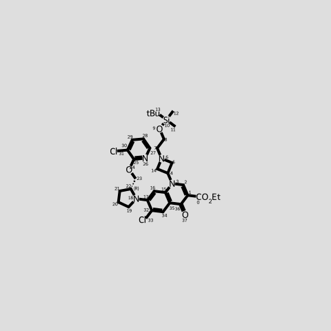 CCOC(=O)c1cn(C2CN(CCO[Si](C)(C)C(C)(C)C)C2)c2cc(N3CCC[C@@H]3COc3ncccc3Cl)c(Cl)cc2c1=O